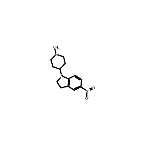 CN1CCC(N2CCc3cc([N+](=O)[O-])ccc32)CC1